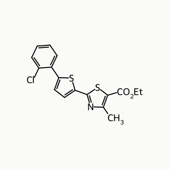 CCOC(=O)c1sc(-c2ccc(-c3ccccc3Cl)s2)nc1C